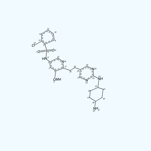 COc1cc(NS(=O)(=O)c2ccccc2Cl)cnc1CCc1cnc(NC2CCC(N)CC2)nc1